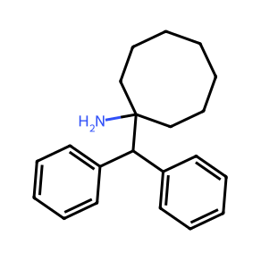 NC1(C(c2ccccc2)c2ccccc2)CCCCCCC1